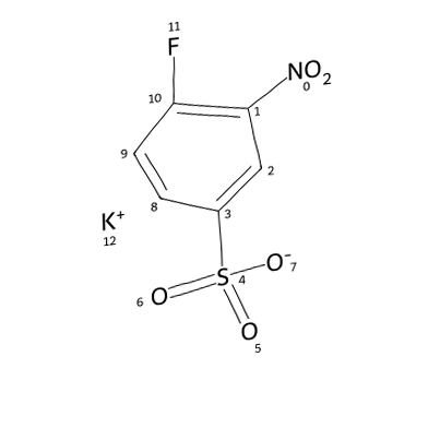 O=[N+]([O-])c1cc(S(=O)(=O)[O-])ccc1F.[K+]